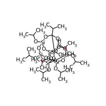 CC(C)O[Si]12O[SiH]3OC4(C(C)C)O[Si](OC(C)C)(O1)O[Si]1(OC(C)C)O[Si](OC(C)C)(O2)O[Si](OC(C)C)(O3)O[Si](OC(C)C)(O1)O[Si]4(O)OC(C)C